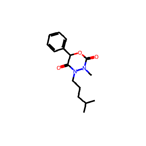 CC(C)CCCN1C(=O)C(c2ccccc2)OC(=O)N1C